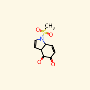 CS(=O)(=O)N1C=CC2C(=O)C(=O)C=CC21